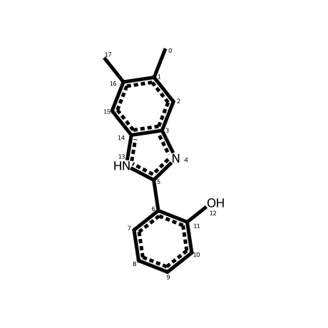 Cc1cc2nc(-c3ccccc3O)[nH]c2cc1C